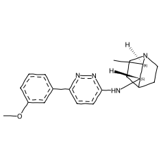 COc1cccc(-c2ccc(N[C@H]3C4CCN(CC4)[C@@H]3C)nn2)c1